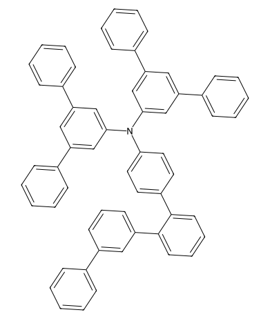 c1ccc(-c2cccc(-c3ccccc3-c3ccc(N(c4cc(-c5ccccc5)cc(-c5ccccc5)c4)c4cc(-c5ccccc5)cc(-c5ccccc5)c4)cc3)c2)cc1